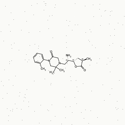 Cc1ccccc1N1CC(C)(C)N(C[C@H](N)[C@@H]2C[C@@H](C)C(=O)O2)CC1=O